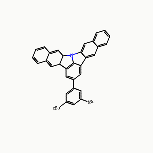 CC(C)(C)c1cc(-c2cc3c4c(c2)c2cc5ccccc5cc2n4C2C=c4ccccc4=CC32)cc(C(C)(C)C)c1